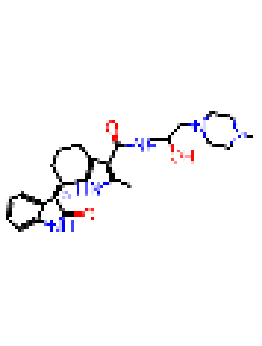 Cc1[nH]c2c(c1C(=O)NCC(O)CN1CCN(C)CC1)CCC/C2=C1/C(=O)Nc2ccccc21